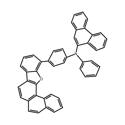 c1ccc(N(c2ccc(-c3cccc4c3oc3c4ccc4ccc5ccccc5c43)cc2)c2cc3ccccc3c3ccccc23)cc1